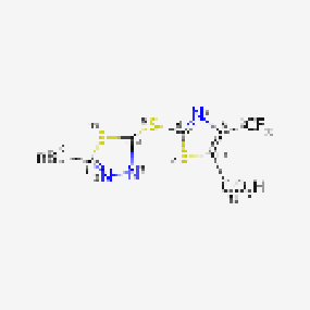 CCCCc1nnc(Sc2nc(C(F)(F)F)c(C(=O)O)s2)s1